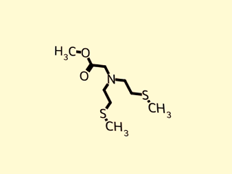 COC(=O)CN(CCSC)CCSC